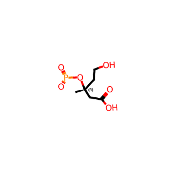 C[C@@](CCO)(CC(=O)O)OP(=O)=O